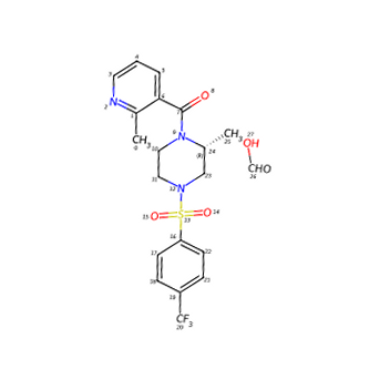 Cc1ncccc1C(=O)N1CCN(S(=O)(=O)c2ccc(C(F)(F)F)cc2)C[C@H]1C.O=CO